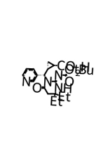 CCC1(CC)CC(=O)N([C@H](c2cccnc2)[C@@H]2C[C@H]2C(=O)O)/C(=N/C(=O)OC(C)(C)C)N1